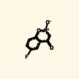 O=c1c[n+]([O-])oc2ccc(F)cc12